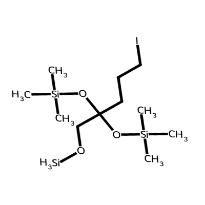 C[Si](C)(C)OC(CCCI)(CO[SiH3])O[Si](C)(C)C